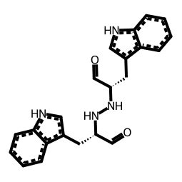 O=C[C@H](Cc1c[nH]c2ccccc12)NN[C@H](C=O)Cc1c[nH]c2ccccc12